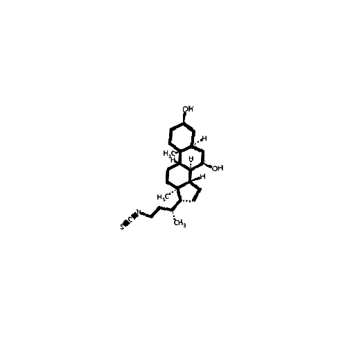 C[C@H](CCN=C=S)[C@H]1CC[C@H]2[C@@H]3[C@H](O)C[C@@H]4C[C@H](O)CC[C@]4(C)[C@H]3CC[C@]12C